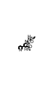 CCNC(=O)Nc1nc2cc(-c3cccnc3)cc(C(=O)NC)n2n1